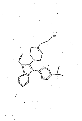 CC(C)(C)c1ccc(-n2c(N3CCN(CCO)CC3)c(C=O)c3ccccc32)cc1